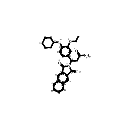 CCOc1cc(C(CC(N)=O)N2C(=O)c3cc4ccccc4cc3C2=O)ccc1OC1CCCCC1